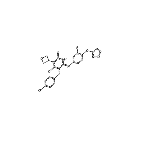 O=c1[nH]/c(=N\c2ccc(Oc3ccon3)c(F)c2)n(Cc2ccc(Cl)cc2)c(=O)n1C1COC1